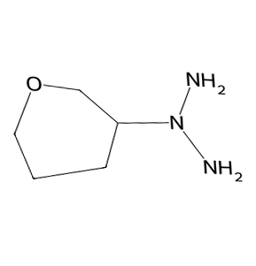 NN(N)C1CCCOC1